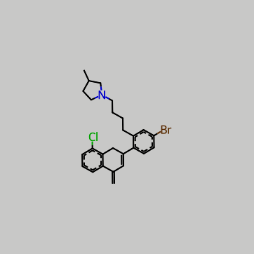 C=C1C=C(c2ccc(Br)cc2CCCCN2CCC(C)C2)Cc2c(Cl)cccc21